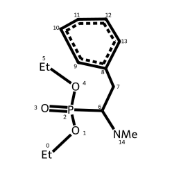 CCOP(=O)(OCC)C(Cc1ccccc1)NC